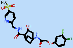 CS(=O)(=O)c1ccc(CNC(=O)C2=C3CC(NC(=O)COc4ccc(Cl)c(F)c4)(C3)CC2O)nc1